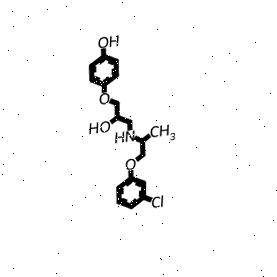 CC(COc1cccc(Cl)c1)NCC(O)COc1ccc(O)cc1